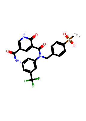 CS(=O)(=O)c1ccc(CN(C(=O)c2cc(C(N)=O)c[nH]c2=O)c2cccc(C(F)(F)F)c2)cc1